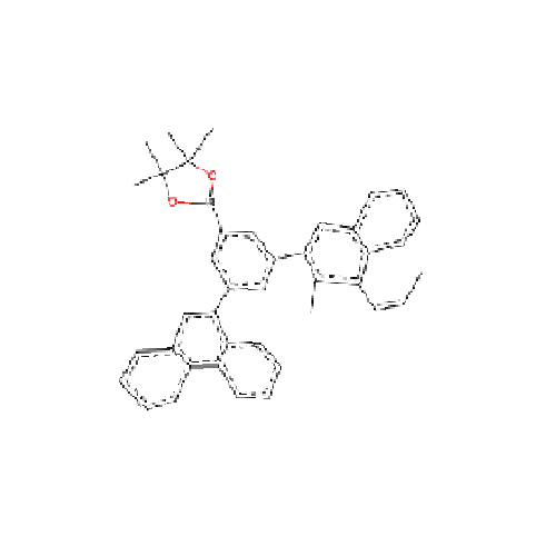 C/C=C\c1c(C)c(-c2cc(B3OC(C)(C)C(C)(C)O3)cc(-c3cc4ccccc4c4ccccc34)c2)cc2ccccc12